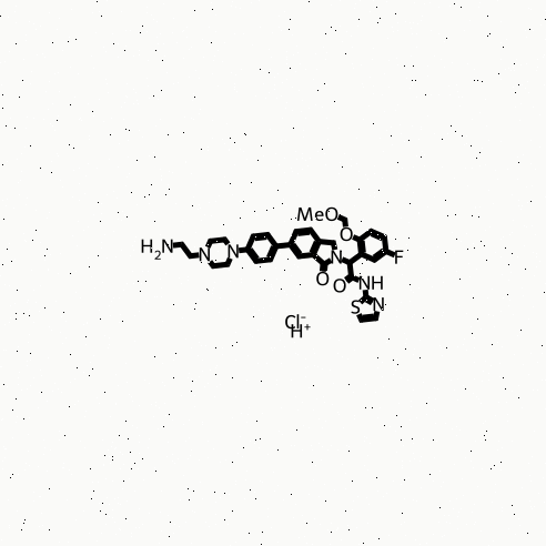 COCOc1ccc(F)cc1C(C(=O)Nc1nccs1)N1Cc2ccc(-c3ccc(N4CCN(CCN)CC4)cc3)cc2C1=O.[Cl-].[H+]